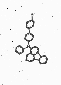 Brc1ccc(-c2ccc(N(c3ccccc3)c3ccc4c5c(cccc35)-c3ccccc3-4)cc2)cc1